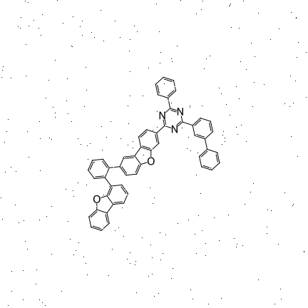 c1ccc(-c2cccc(-c3nc(-c4ccccc4)nc(-c4ccc5c(c4)oc4ccc(-c6ccccc6-c6cccc7c6oc6ccccc67)cc45)n3)c2)cc1